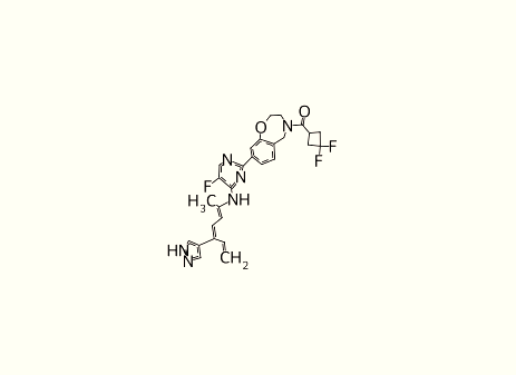 C=C/C(=C\C=C(/C)Nc1nc(-c2ccc3c(c2)OCCN(C(=O)C2CC(F)(F)C2)C3)ncc1F)c1cn[nH]c1